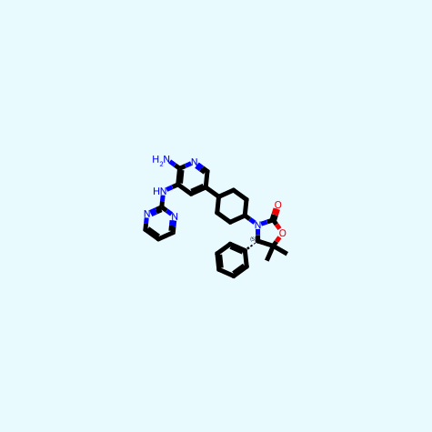 CC1(C)OC(=O)N(C2CCC(c3cnc(N)c(Nc4ncccn4)c3)CC2)[C@H]1c1ccccc1